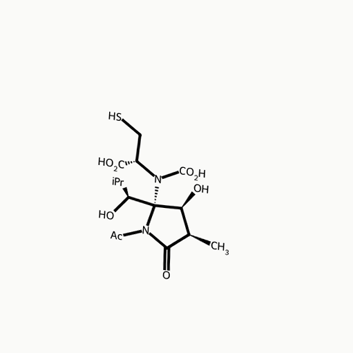 CC(=O)N1C(=O)[C@H](C)[C@H](O)[C@@]1([C@@H](O)C(C)C)N(C(=O)O)[C@@H](CS)C(=O)O